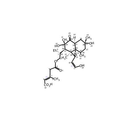 CC[C@@H](COC(=O)C/C(C)=C/C(=O)O)[C@@H]1[C@](C)(C(=O)/C=C\O)[C@H]2[C@H](C)C[C@@](C)(O)C[C@@H]2C(=O)[C@@]1(C)O